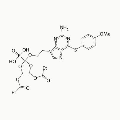 CCC(=O)OCOC(OCCn1cnc2c(Sc3ccc(OC)cc3)nc(N)nc21)(OCOC(=O)CC)P(=O)(O)O